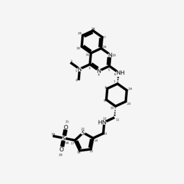 CN(C)c1nc(N[C@H]2CC[C@@H](CNCc3ccc(S(C)(=O)=O)s3)CC2)nc2ccccc12